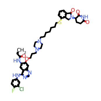 C=CC(=O)Nc1cc2c(Nc3ccc(F)c(Cl)c3)ncnc2cc1OCCCN1CCN(CCCCCCCSc2cccc3c2CN(C2CCC(=O)NC2=O)C3=O)CC1